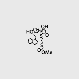 COC(=O)CSCCCSC1C(=O)C[C@@H](O)[C@@H]1C=CC(C)(O)CCc1cccc2ccccc12